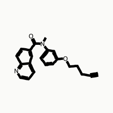 C#CCCCOc1cccc(N(C)C(=O)c2ccc3ncccc3c2)c1